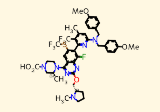 COc1ccc(CN(Cc2ccc(OC)cc2)c2cc(C)c(C(F)(F)F)c(-c3c(SC(F)(F)F)cc4c(N5CCN(C(=O)O)C[C@@H]5C)nc(OC[C@@H]5CCCN5C)nc4c3F)n2)cc1